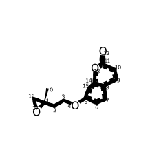 C[C@]1(CCOc2ccc3ccc(=O)oc3c2)CO1